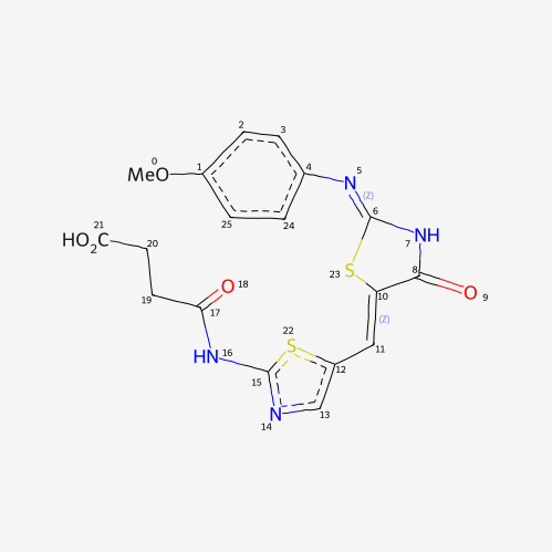 COc1ccc(/N=C2/NC(=O)/C(=C/c3cnc(NC(=O)CCC(=O)O)s3)S2)cc1